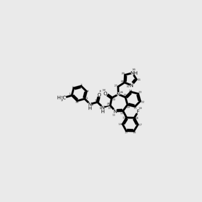 Cc1cccc(NC(=O)N[C@@H]2N=C(c3ccccc3F)c3ccccc3N(Cc3c[nH]cn3)C2=O)c1